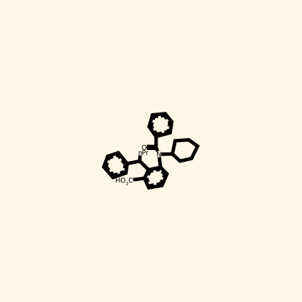 CCCC(c1ccccc1)c1c(C(=O)O)cccc1N(C(=O)c1ccccc1)C1CCCCC1